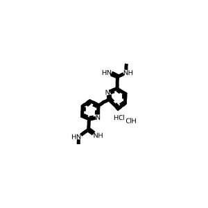 CNC(=N)c1cccc(-c2cccc(C(=N)NC)n2)n1.Cl.Cl